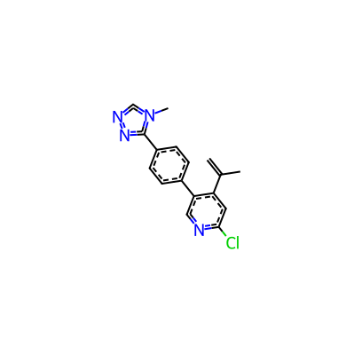 C=C(C)c1cc(Cl)ncc1-c1ccc(-c2nncn2C)cc1